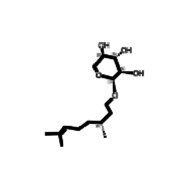 CC(C)=CCC[C@@H](C)CCO[C@H]1OC[C@@H](O)[C@H](O)[C@H]1O